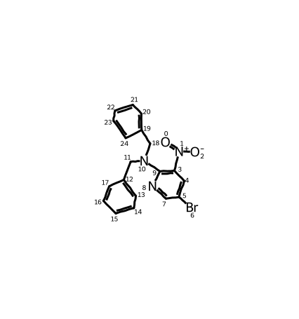 O=[N+]([O-])c1cc(Br)cnc1N(Cc1ccccc1)Cc1ccccc1